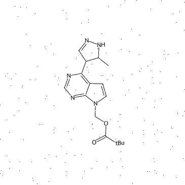 CC1NN=CC1c1ncnc2c1ccn2COC(=O)C(C)(C)C